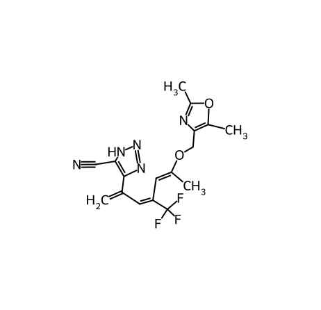 C=C(/C=C(\C=C(/C)OCc1nc(C)oc1C)C(F)(F)F)c1nn[nH]c1C#N